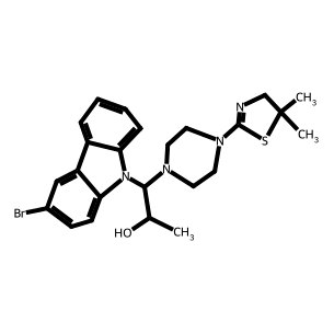 CC(O)C(N1CCN(C2=NCC(C)(C)S2)CC1)n1c2ccccc2c2cc(Br)ccc21